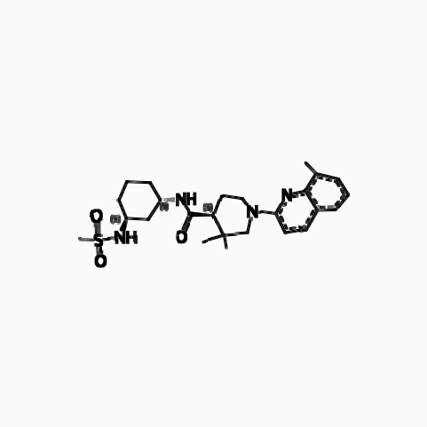 Cc1cccc2ccc(N3CC[C@H](C(=O)N[C@H]4CCC[C@H](NS(C)(=O)=O)C4)C(C)(C)C3)nc12